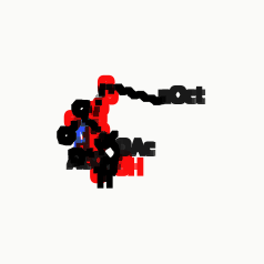 CCCCCCCC/C=C\CCCCCCC[C@@H]1OC[C@@H](COC(=O)O[C@@H](C(=O)O[C@H]2C[C@@]3(O)[C@@H](OC(=O)c4ccccc4)[C@@H]4[C@]5(OC(C)=O)CO[C@@H]5C[C@H](O)[C@@]4(C)C(=O)[C@H](OC(C)=O)C(=C2C)C3(C)C)[C@@H](NC(=O)c2ccccc2)c2ccccc2)O1